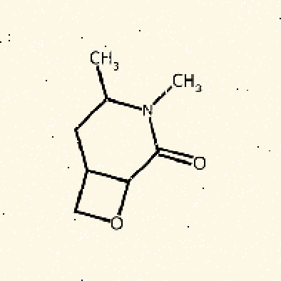 CC1CC2COC2C(=O)N1C